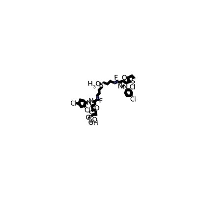 CN(CCC/C=C(\F)c1nn(-c2ccc(Cl)cc2Cl)c2c1oc1ccsc12)CCC/C=C(\F)c1nn(-c2ccc(Cl)cc2Cl)c2c1oc1cc(S(=O)(=O)O)sc12